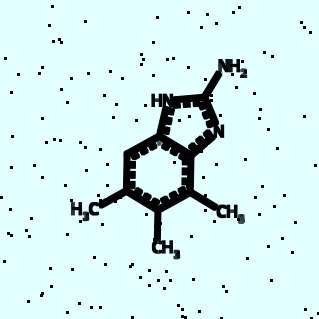 Cc1cc2[nH]c(N)nc2c(C)c1C